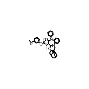 CN(C)c1cccc(OC(=O)NC2C(=O)N(CC3C4CC5CC(C4)CC3C5)c3ccccc3N(c3ccccc3)C2=O)c1